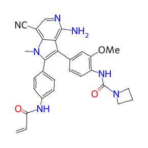 C=CC(=O)Nc1ccc(-c2c(-c3ccc(NC(=O)N4CCC4)c(OC)c3)c3c(N)ncc(C#N)c3n2C)cc1